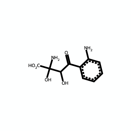 Nc1ccccc1C(=O)C(O)C(N)(O)C(=O)O